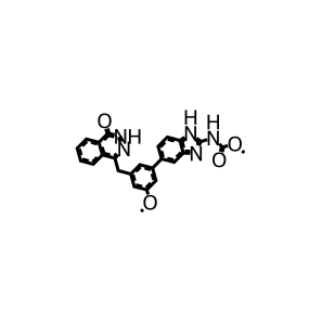 COC(=O)Nc1nc2cc(-c3cc(Cc4n[nH]c(=O)c5ccccc45)cc(OC)c3)ccc2[nH]1